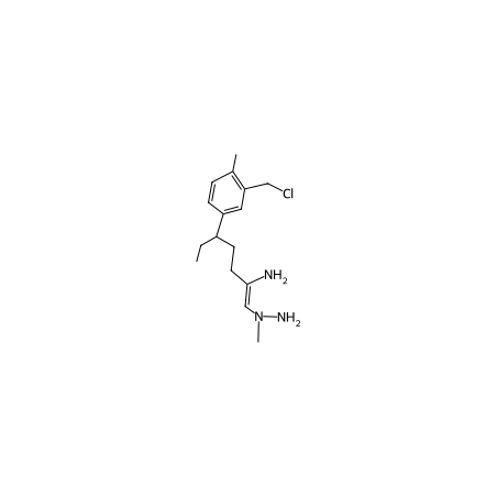 CCC(CC/C(N)=C/N(C)N)c1ccc(C)c(CCl)c1